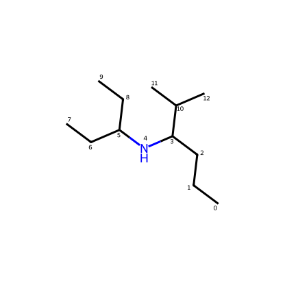 CCCC(NC(CC)CC)C(C)C